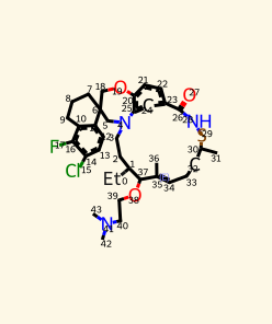 CCC1CCN2CC3(CCCc4c3ccc(Cl)c4F)COc3ccc(cc32)C(=O)NSC(C)CC/C=C(\C)C1OCCN(C)C